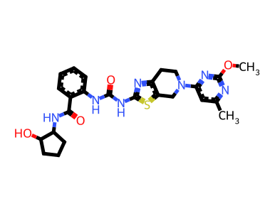 COc1nc(C)cc(N2CCc3nc(NC(=O)Nc4ccccc4C(=O)NC4CCCC4O)sc3C2)n1